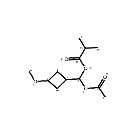 COC1CC(C(OC(C)=O)OC(=O)C(C)C)C1